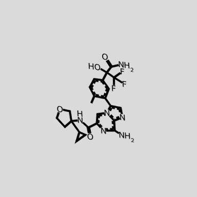 Cc1ccc(C(O)(C(N)=O)C(F)(F)F)cc1-c1cnc2c(N)nc(C(=O)NC3(C4CC4)CCOC3)cn12